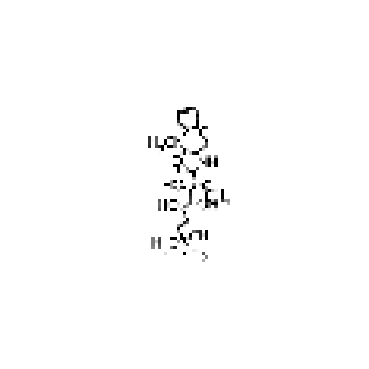 CO[C@@H](C(=O)N[C@H]1COc2ccccc2N(C)C1=O)[C@H](O)[C@@H](O)[C@H](O)C=CC(C)(C)C